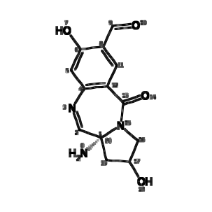 N[C@]12C=Nc3cc(O)c(C=O)cc3C(=O)N1CC(O)C2